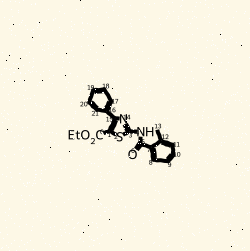 CCOC(=O)c1sc(NC(=O)c2ccccc2C)nc1-c1ccccc1